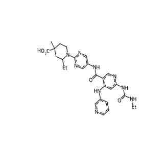 CCNC(=O)Nc1cc(Nc2cccnc2)c(C(=O)Nc2cnc(N3CCC(C)(C(=O)O)CC3CC)nc2)cn1